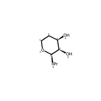 CCC[C@H]1OCC[C@@H](O)[C@H]1O